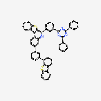 c1ccc(-c2nc(-c3ccccc3)nc(-c3cccc(-c4nc5cc(-c6cccc(-c7cccc8c7sc7ccccc78)c6)ccc5c5c4sc4ccccc45)c3)n2)cc1